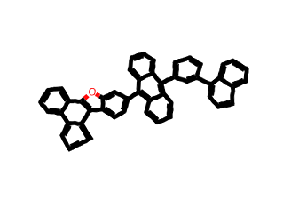 c1cc(-c2cccc3ccccc23)cc(-c2c3ccccc3c(-c3ccc4c(c3)oc3c5ccccc5c5ccccc5c43)c3ccccc23)c1